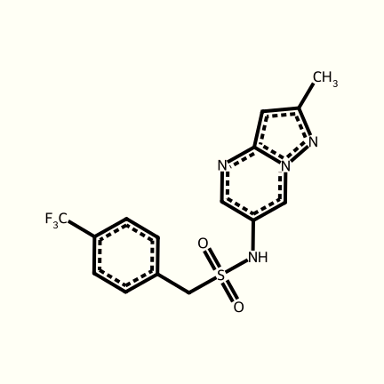 Cc1cc2ncc(NS(=O)(=O)Cc3ccc(C(F)(F)F)cc3)cn2n1